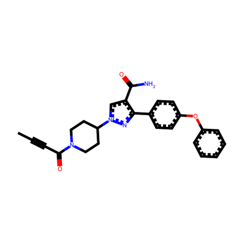 CC#CC(=O)N1CCC(n2cc(C(N)=O)c(-c3ccc(Oc4ccccc4)cc3)n2)CC1